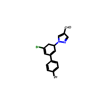 CC(C)c1ccc(C2=CC(n3cc(C=O)cn3)CC(Br)=C2)cc1